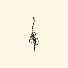 CCCCCCCCCCCCCCCC(=O)OC1=CCC(CNC(=O)CCCC/C=C/C(C)C)C=C1OC